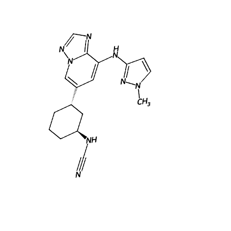 Cn1ccc(Nc2cc([C@H]3CCC[C@H](NC#N)C3)cn3ncnc23)n1